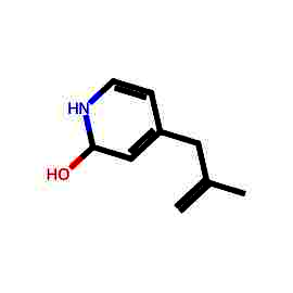 C=C(C)CC1=CC(O)NC=C1